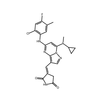 Cc1cc(Nc2cc(N(C)C3CC3)n3ncc(/C=C4\CC(=O)NC4=O)c3n2)c(Cl)cc1F